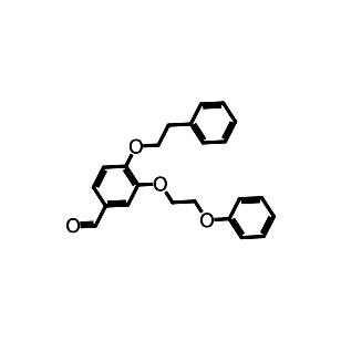 O=Cc1ccc(OCCc2ccccc2)c(OCCOc2ccccc2)c1